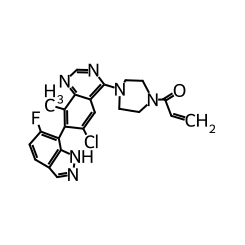 C=CC(=O)N1CCN(c2ncnc3c(C)c(-c4c(F)ccc5cn[nH]c45)c(Cl)cc23)CC1